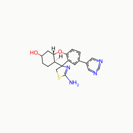 NC1=NC2(CS1)c1cc(-c3cncnc3)ccc1O[C@H]1CC(O)CC[C@@H]12